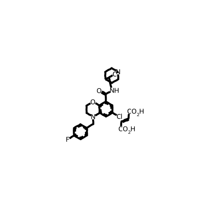 O=C(NC1CN2CCC1CC2)c1cc(Cl)cc2c1OCCN2Cc1ccc(F)cc1.O=C(O)C=CC(=O)O